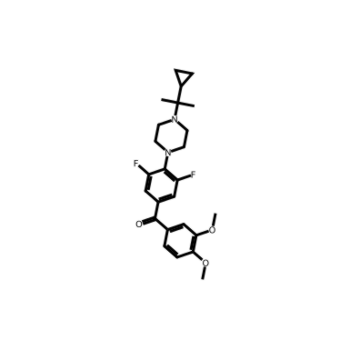 COc1ccc(C(=O)c2cc(F)c(N3CCN(C(C)(C)C4CC4)CC3)c(F)c2)cc1OC